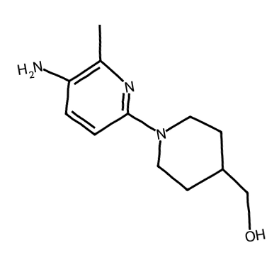 Cc1nc(N2CCC(CO)CC2)ccc1N